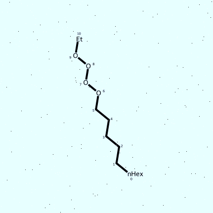 CCCCCCCCCCCOOOOCC